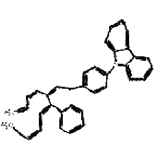 C=C\C=C/C(=C/Cc1ccc(-n2c3ccccc3c3ccccc32)cc1)C(=C/C=C\C)/c1ccccc1